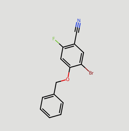 N#Cc1cc(Br)c(OCc2ccccc2)cc1F